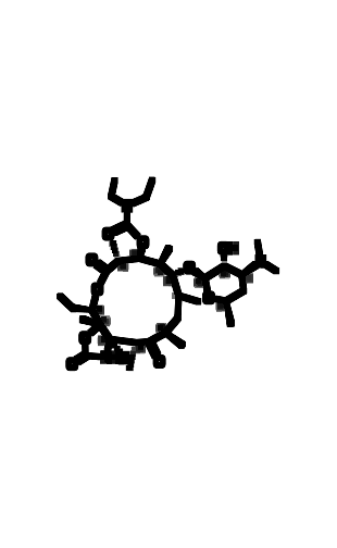 CC[C@H]1OC(=O)[C@H](C)[C@@H](OC(=O)N(CC)CC)[C@@H](C)[C@H](O[C@@H]2O[C@H](C)C[C@H](N(C)C)[C@H]2O)[C](C)C[C@@H](C)C(=O)[C@H](C)[C@H]2NC(=O)O[C@@]21C